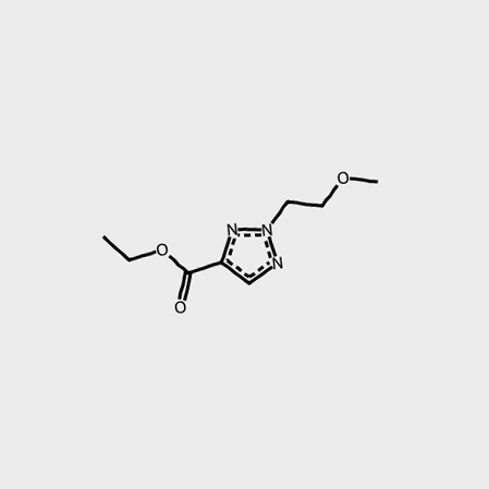 CCOC(=O)c1cnn(CCOC)n1